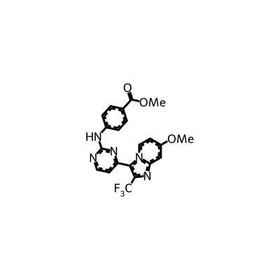 COC(=O)c1ccc(Nc2nccc(-c3c(C(F)(F)F)nc4cc(OC)ccn34)n2)cc1